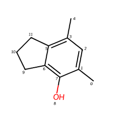 Cc1cc(C)c2c(c1O)CCC2